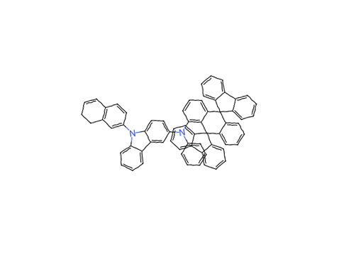 C1=Cc2ccc(-n3c4ccccc4c4cc(N(c5ccccc5)c5cccc6c5C5(c7ccccc7-c7ccccc75)c5ccccc5C65c6ccccc6-c6ccccc65)ccc43)cc2CC1